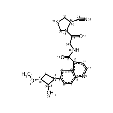 CO[C@@H]1CN(c2ccc3nccc(C(=O)NCC(=O)N4CSC[C@H]4C#N)c3c2)[C@H]1C